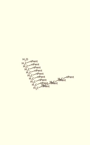 CCCCCC.CCCCCC.CCCCCC.CCCCCC.CCCCCC.CCCCCC.CCCCCC.CCCCCC.CCCCCC.CCCCCC.CCCCCC.CCCCCC.O